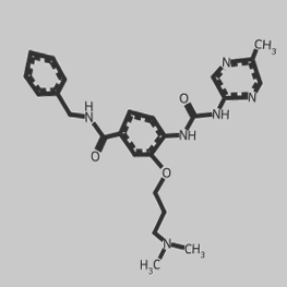 Cc1cnc(NC(=O)Nc2ccc(C(=O)NCc3ccccc3)cc2OCCCN(C)C)cn1